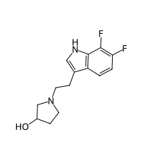 OC1CCN(CCc2c[nH]c3c(F)c(F)ccc23)C1